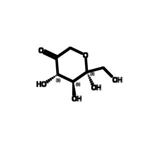 O=C1CO[C@@](O)(CO)[C@@H](O)[C@@H]1O